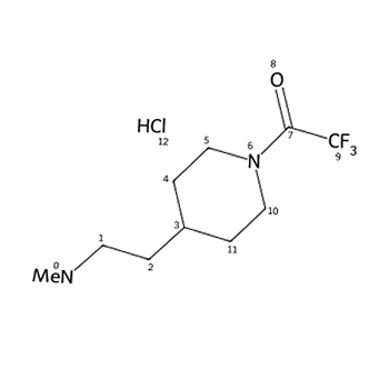 CNCCC1CCN(C(=O)C(F)(F)F)CC1.Cl